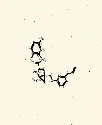 C=CCc1cccc(OC[C@@]23C[C@@H](C(=O)Nc4nc(Br)ccc4C)N[C@@H]2C3)n1